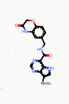 CC(=O)Nc1c[nH]c2c(C(=O)NCc3ccc4c(c3)NC(=O)CO4)ncnc12